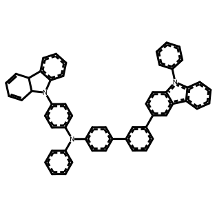 C1=CC2c3ccccc3N(c3ccc(N(c4ccccc4)c4ccc(-c5cccc(-c6ccc7c(c6)c6ccccc6n7-c6ccccc6)c5)cc4)cc3)C2C=C1